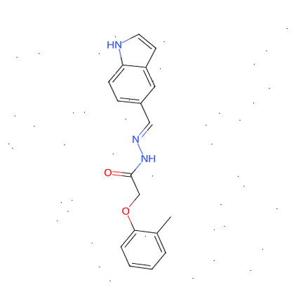 Cc1ccccc1OCC(=O)N/N=C/c1ccc2[nH]ccc2c1